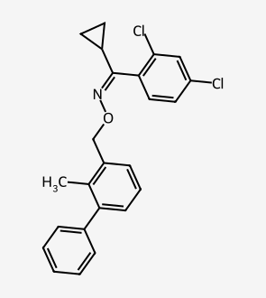 Cc1c(CON=C(c2ccc(Cl)cc2Cl)C2CC2)cccc1-c1ccccc1